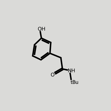 CC(C)(C)NC(=O)Cc1cccc(O)c1